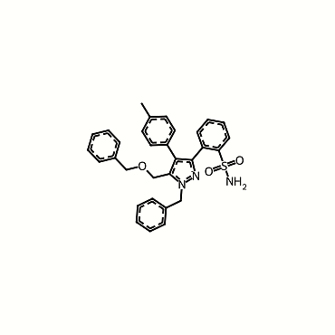 Cc1ccc(-c2c(-c3ccccc3S(N)(=O)=O)nn(Cc3ccccc3)c2COCc2ccccc2)cc1